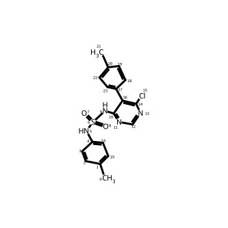 Cc1ccc(NS(=O)(=O)Nc2ncnc(Cl)c2-c2ccc(C)cc2)cc1